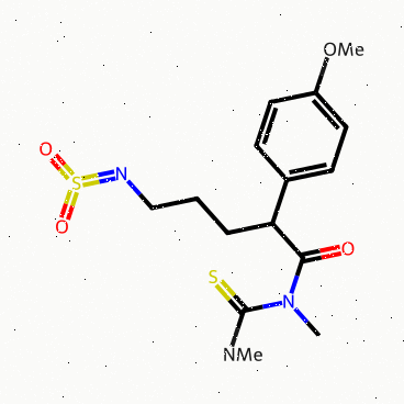 CNC(=S)N(C)C(=O)C(CCCN=S(=O)=O)c1ccc(OC)cc1